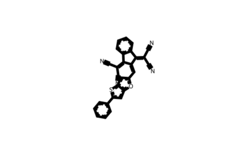 N#CC(C#N)=C1C(=Cc2cc3sc(-c4ccccc4)cc3o2)C(=C(C#N)C#N)c2ccccc21